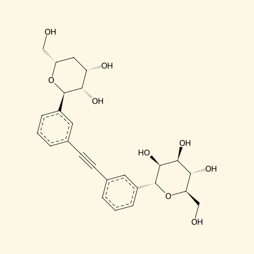 OC[C@@H]1C[C@H](O)[C@H](O)[C@@H](c2cccc(C#Cc3cccc([C@H]4O[C@H](CO)[C@@H](O)[C@H](O)[C@@H]4O)c3)c2)O1